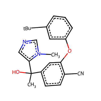 Cn1cncc1C(C)(O)c1ccc(C#N)c(Oc2cccc(C(C)(C)C)c2)c1